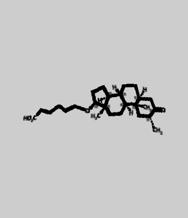 C[C@@H]1C[C@@]2(C)[C@@H](CC[C@@H]3[C@@H]2CC[C@]2(C)[C@@H](OCCCCCC(=O)O)CC[C@@H]32)CC1=O